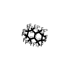 CC1(F)C2C(C(F)(F)C(F)(F)C1(F)F)C(F)(F)C(F)(F)C(F)(F)C2(F)F